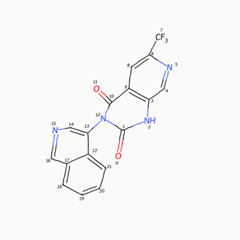 O=c1[nH]c2cnc(C(F)(F)F)cc2c(=O)n1-c1cncc2ccccc12